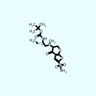 CC[C@@H](CN(C)C1CSc2sc(S(N)(=O)=O)cc2C1=O)NC(=O)OC(C)(C)C